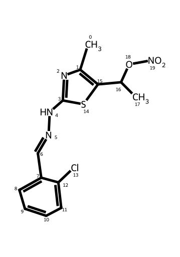 Cc1nc(N/N=C/c2ccccc2Cl)sc1C(C)O[N+](=O)[O-]